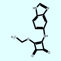 CCOc1c(Nc2ccc3[nH]cnc3c2)c(=O)c1=O